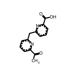 CC(=O)c1cccc(Cc2cccc(C(=O)O)n2)n1